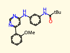 COc1ccccc1-c1cc(Nc2cccc(NC(=O)C(C)(C)C)c2)ncn1